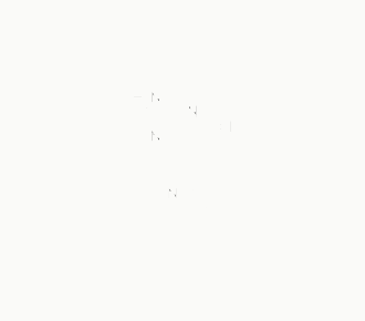 CC1CCCC(C)N1Cc1cc(Cl)nc(N)n1